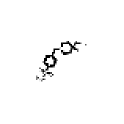 CS(=O)(=O)c1ccc(CN2CCC(I)(CC#N)CC2)cc1